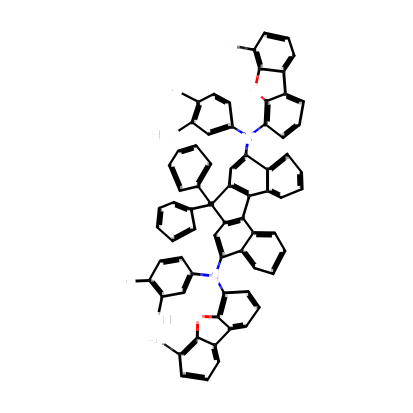 Cc1ccc(N(c2cc3c(c4ccccc24)-c2c(cc(N(c4ccc(C)c(C)c4)c4cccc5c4oc4c(C(C)(C)C)cccc45)c4ccccc24)C3(c2ccccc2)c2ccccc2)c2cccc3c2oc2c(C(C)(C)C)cccc23)cc1C